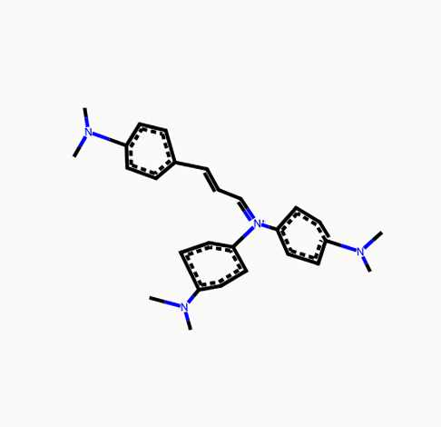 CN(C)c1ccc(C=CC=[N+](c2ccc(N(C)C)cc2)c2ccc(N(C)C)cc2)cc1